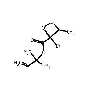 C=CC(C)(C)OC(=O)C1(CC)OOC1C